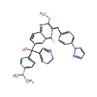 COc1nc2ccc(C(O)(c3ccc(N(C)C)cc3)c3cccnc3)cc2c(Cl)c1Cc1ccc(-n2cccn2)cc1